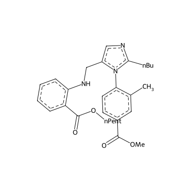 CCCCCOC(=O)c1ccccc1NCc1cnc(CCCC)n1-c1ccc(C(=O)OC)cc1C